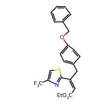 CCOC(=O)C=C(Cc1ccc(OCc2ccccc2)cc1)c1nc(C(F)(F)F)cs1